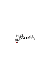 CC(C)c1ccc(Cc2ccc(C(C)(I)c3ccc(CNc4ccccc4)cc3)cc2)cc1